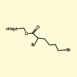 CCCCCCCCOC(=O)C(Br)CCCCBr